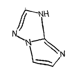 [c]1nn2ccnc2[nH]1